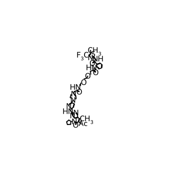 CC(=O)c1c(C)c2cnc(Nc3ccc(N4CCN(CC(=O)NCCOCCOCCC(=O)Nc5ccccc5C(=O)Nc5nc(C(F)(F)F)c(C)s5)CC4)cn3)nc2n(C2CCCC2)c1=O